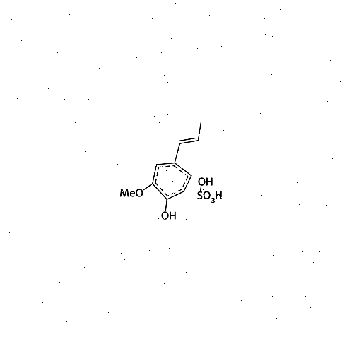 C/C=C/c1ccc(O)c(OC)c1.O=S(=O)(O)O